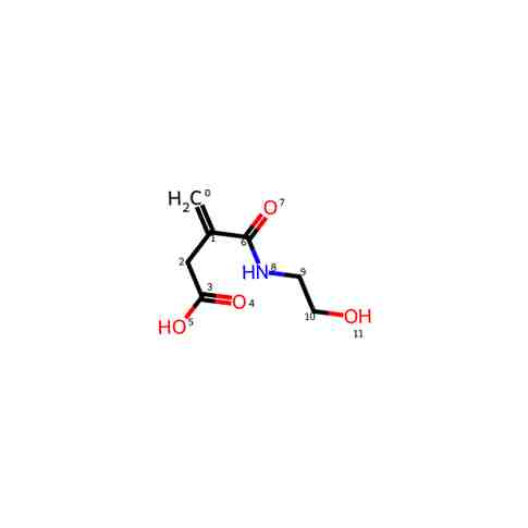 C=C(CC(=O)O)C(=O)NCCO